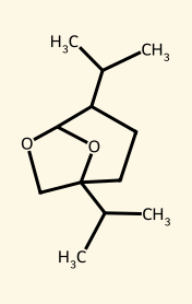 CC(C)C1CCC2(C(C)C)COC1O2